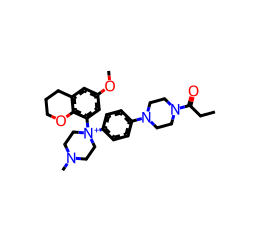 CCC(=O)N1CCN(c2ccc([N+]3(c4cc(OC)cc5c4OCCC5)CCN(C)CC3)cc2)CC1